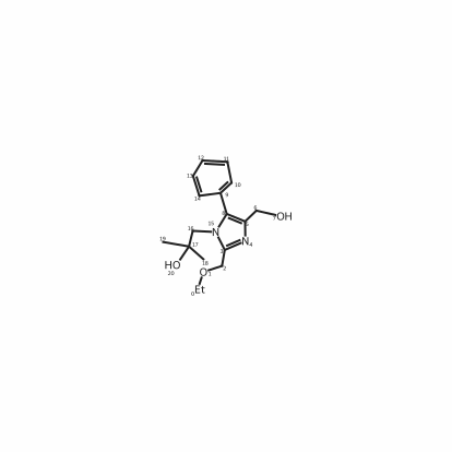 CCOCc1nc(CO)c(-c2ccccc2)n1CC(C)(C)O